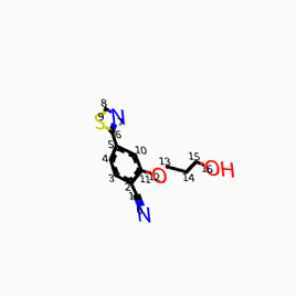 N#Cc1ccc(C2=NCS2)cc1OCCCO